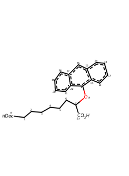 CCCCCCCCCCCCCCCCC(Oc1c2ccccc2cc2ccccc12)C(=O)O